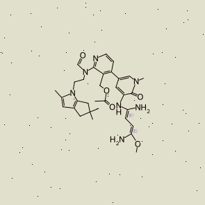 CO/C(N)=C/C=C(\N)Nc1cc(-c2ccnc(N(C=O)CCn3c(C)cc4c3CC(C)(C)C4)c2COC(C)=O)cn(C)c1=O